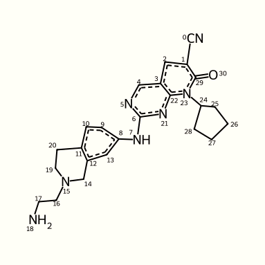 N#Cc1cc2cnc(Nc3ccc4c(c3)CN(CCN)CC4)nc2n(C2CCCC2)c1=O